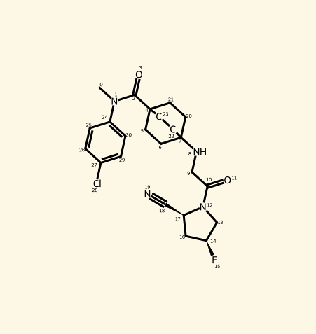 CN(C(=O)C12CCC(NCC(=O)N3C[C@@H](F)C[C@H]3C#N)(CC1)CC2)c1ccc(Cl)cc1